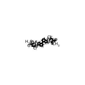 COc1nc(O[C@@H]2c3cccc(-c4cccc5c4C[C@H](F)[C@@H]5Oc4nc(OC)c(C=O)cc4Cl)c3C[C@@H]2F)c(Cl)cc1C=O